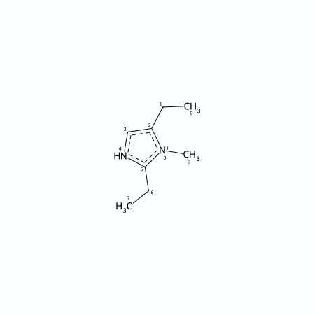 CCc1c[nH]c(CC)[n+]1C